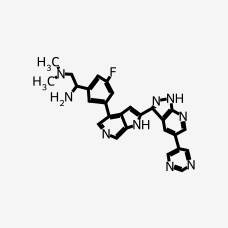 CN(C)CC(N)c1cc(F)cc(-c2cncc3[nH]c(-c4n[nH]c5ncc(-c6cncnc6)cc45)cc23)c1